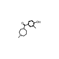 Cc1cc(C(=O)N2CCCN(C)CC2)ccc1O